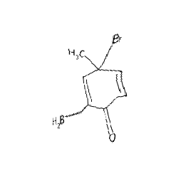 BC1=CC(C)(Br)C=CC1=O